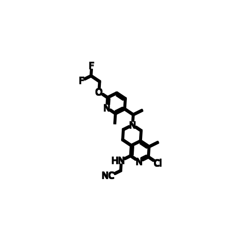 Cc1nc(OCC(F)F)ccc1C(C)N1CCc2c(NCC#N)nc(Cl)c(C)c2C1